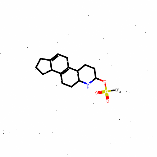 O=S(=O)(OC1CCC2C3=C(CCC2N1)C1CCCC1=CC3)C(F)(F)F